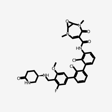 COc1cc(-c2cccc(-c3cccc(NC(=O)C4=CN(C)C5OC5N(C)C4=O)c3Cl)c2Cl)cc(F)c1CN[C@@H]1CCC(=O)NC1